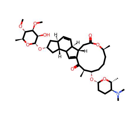 CO[C@@H]1[C@@H](OC)[C@@H](O)[C@H](O[C@@H]2C[C@H]3C=C[C@@H]4C(C=C5C(=O)[C@H](C)[C@@H](O[C@H]6CC[C@H](N(C)C)[C@@H](C)O6)CCC[C@H](C)OC(=O)C[C@H]54)[C@@H]3C2)O[C@H]1C